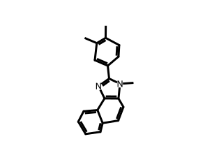 Cc1ccc(-c2nc3c4ccccc4ccc3n2C)cc1C